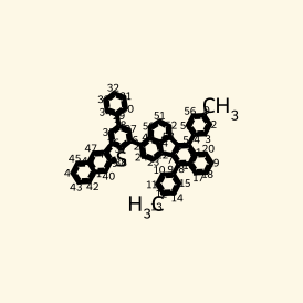 Cc1ccc(-c2c3c(c(-c4ccc(C)cc4)c4ccccc24)-c2ccc(-c4cc(-c5ccccc5)cc5c4sc4cc6ccccc6cc45)c4cccc-3c24)cc1